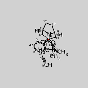 C#Cc1cncc(C2(C#N)C[C@H]3CC[C@@H](C2)N3C(=O)OC(C)(C)C)c1